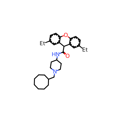 CCc1ccc2c(c1)C(C(=O)NC1CCN(CC3CCCCCCC3)CC1)c1cc(CC)ccc1O2